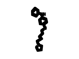 c1ccc(Nc2ccc(OCCCCCN3CCCC3)cc2)cc1